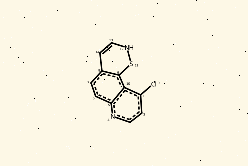 Clc1ccnc2ccc3c(c12)SNC=C3